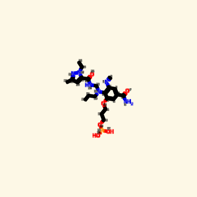 C=Nc1cc(C(N)=O)cc(OCCCOP(O)O)c1N(CCC)CNC(=O)c1cc(C)nn1CC